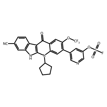 N#Cc1ccc2c(c1)[nH]c1c2c(=O)c2cc(OC(F)(F)F)c(-c3cncc(OS(=O)(=O)F)c3)cc2n1C1CCCC1